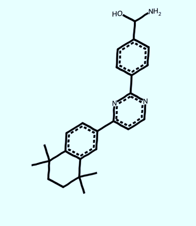 CC1(C)CCC(C)(C)c2cc(-c3ccnc(-c4ccc(C(N)O)cc4)n3)ccc21